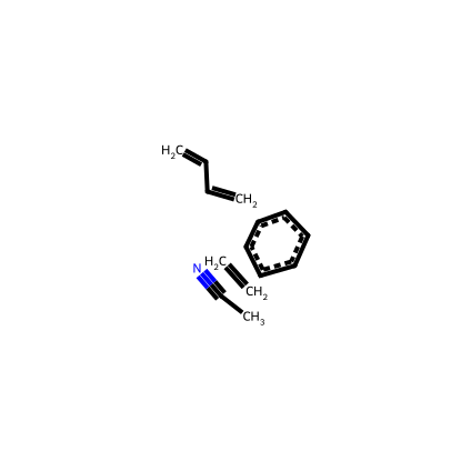 C=C.C=CC=C.CC#N.c1ccccc1